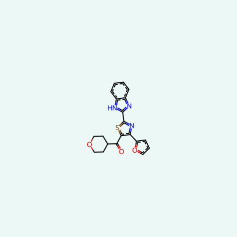 O=C(c1sc(-c2nc3ccccc3[nH]2)nc1-c1ccco1)C1CCOCC1